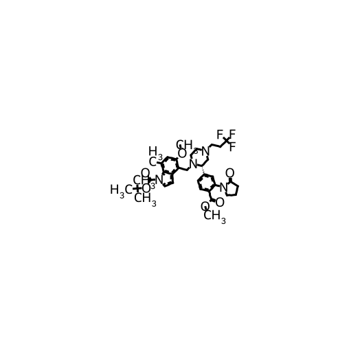 COC(=O)c1ccc([C@H]2CN(CCC(F)(F)F)CCN2Cc2c(OC)cc(C)c3c2ccn3C(=O)OC(C)(C)C)cc1N1CCCC1=O